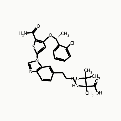 C[C@@H](Oc1cc(-n2cnc3ccc(CCCN[C@@](C)(C(=O)O)C(C)(C)C)cc32)sc1C(N)=O)c1ccccc1Cl